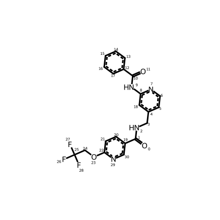 O=C(NCc1ccnc(NC(=O)c2ccccc2)c1)c1ccc(OCC(F)(F)F)nc1